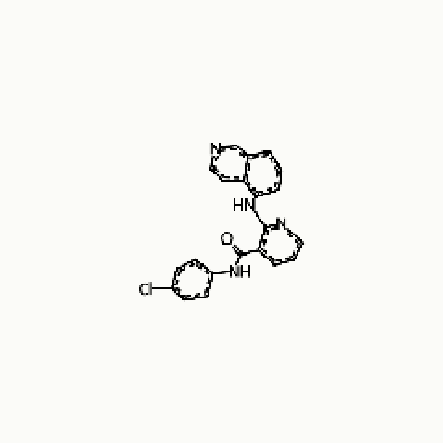 O=C(Nc1ccc(Cl)cc1)c1cccnc1Nc1cccc2cnccc12